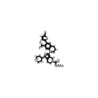 CNC(=O)N1CCc2c(c(N3CCCc4cc(-c5ccc(C)s5)c(C(F)F)cc43)nn2C2CCOCC2)C1